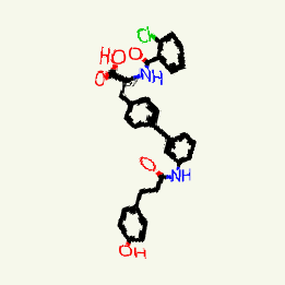 O=C(CCc1ccc(O)cc1)Nc1cccc(-c2ccc(C[C@H](NC(=O)c3ccccc3Cl)C(=O)O)cc2)c1